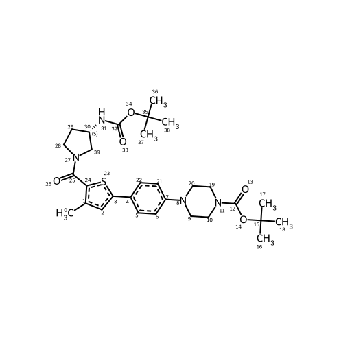 Cc1cc(-c2ccc(N3CCN(C(=O)OC(C)(C)C)CC3)cc2)sc1C(=O)N1CC[C@H](NC(=O)OC(C)(C)C)C1